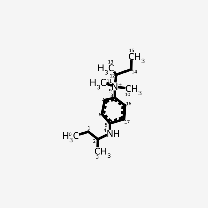 CCC(C)Nc1ccc([N+](C)(C)C(C)CC)cc1